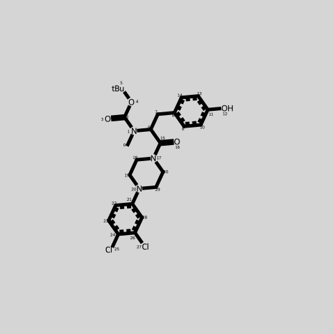 CN(C(=O)OC(C)(C)C)C(Cc1ccc(O)cc1)C(=O)N1CCN(c2ccc(Cl)c(Cl)c2)CC1